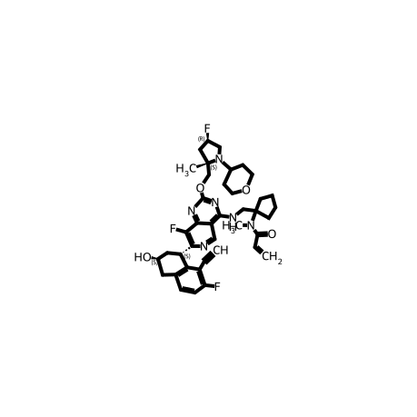 C#Cc1c(F)ccc2c1[C@@H](c1ncc3c(NCC4(N(C)C(=O)C=C)CCCC4)nc(OC[C@]4(C)C[C@@H](F)CN4C4CCOCC4)nc3c1F)C[C@H](O)C2